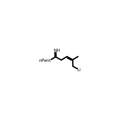 [Li][CH2]C(C)=CCC(=N)CCCCC